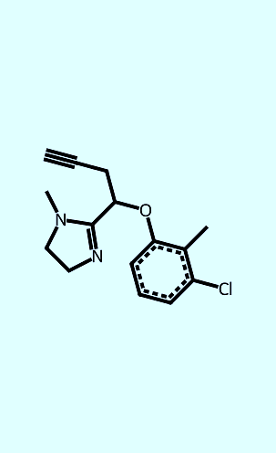 C#CCC(Oc1cccc(Cl)c1C)C1=NCCN1C